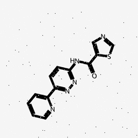 O=C(Nc1ccc(-c2ccccn2)nn1)c1cncs1